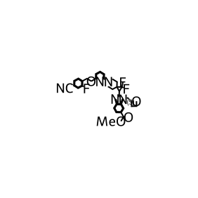 COC(=O)c1ccc2nc(C3C(F)(F)C34CCN(c3cccc(OCc5ccc(C#N)cc5F)n3)CC4)n(C[C@@H]3CCO3)c2c1